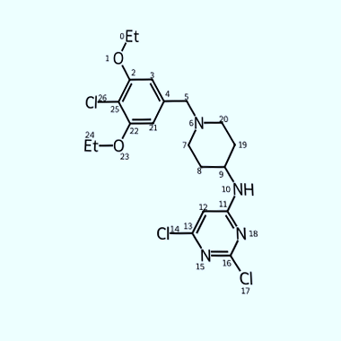 CCOc1cc(CN2CCC(Nc3cc(Cl)nc(Cl)n3)CC2)cc(OCC)c1Cl